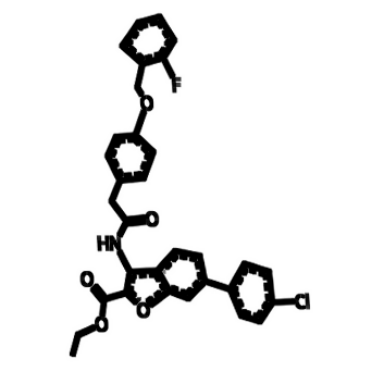 CCOC(=O)c1oc2cc(-c3ccc(Cl)cc3)ccc2c1NC(=O)Cc1ccc(OCc2ccccc2F)cc1